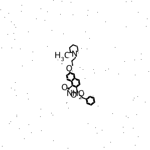 CC1CCCCN1CCCOc1ccc2c(C(N)=O)c(C(=O)OCc3ccccc3)ccc2c1